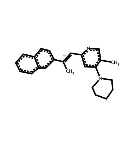 C/C(=C\c1cc(N2CCCCC2)c(C)cn1)c1ccc2ccccc2c1